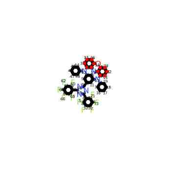 Fc1c(F)c(F)c(-c2nc(-c3cc(N(c4ccccc4)c4ccccc4)c(N4c5ccccc5Oc5ccccc54)c(N(c4ccccc4)c4ccccc4)c3)nc(-c3c(F)c(F)c(F)c(F)c3F)n2)c(F)c1F